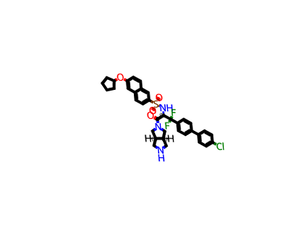 O=C([C@@H](NS(=O)(=O)c1ccc2cc(OC3CCCC3)ccc2c1)C(F)(F)c1ccc(-c2ccc(Cl)cc2)cc1)N1C[C@H]2CNC[C@H]2C1